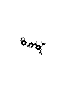 O=C(c1ccc(Oc2ccc(OC(F)(F)F)cc2)nc1)c1ccc(OC(F)F)c(OC(F)F)c1